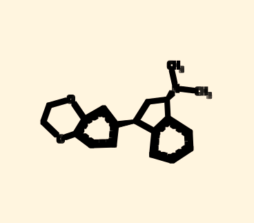 CN(C)[C@@H]1C[C@H](c2ccc3c(c2)OCCO3)c2ccccc21